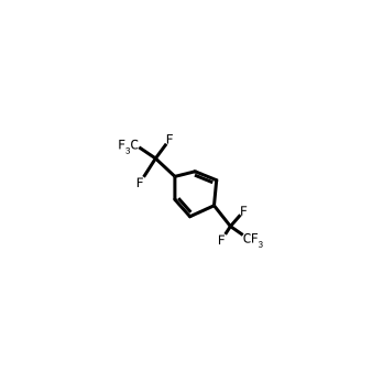 FC(F)(F)C(F)(F)C1C=CC(C(F)(F)C(F)(F)F)C=C1